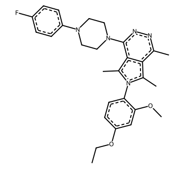 CCOc1ccc(-n2c(C)c3c(C)nnc(N4CCN(c5ccc(F)cc5)CC4)c3c2C)c(OC)c1